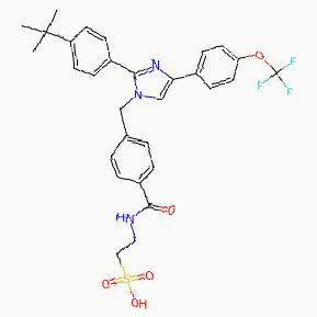 CC(C)(C)c1ccc(-c2nc(-c3ccc(OC(F)(F)F)cc3)cn2Cc2ccc(C(=O)NCCS(=O)(=O)O)cc2)cc1